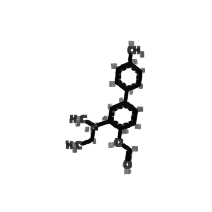 CCN(C)c1cc(-c2ccc(C)cc2)ccc1OC=O